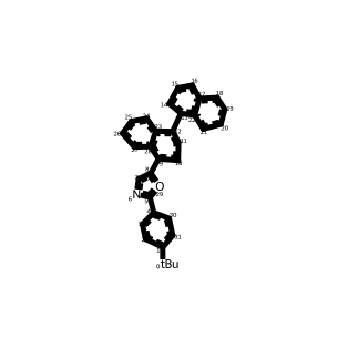 CC(C)(C)c1ccc(-c2ncc(-c3ccc(-c4cccc5ccccc45)c4ccccc34)o2)cc1